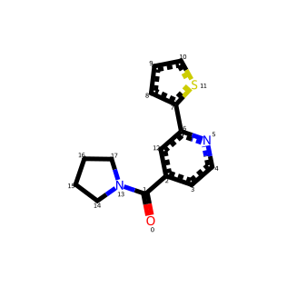 O=C(c1ccnc(-c2cccs2)c1)N1CCCC1